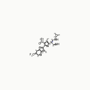 CC[S+]([O-])c1c(-c2nc3cc(C(F)(F)F)cnc3n2C)nc(/C(C=N)=C/NC2CC2)n1C